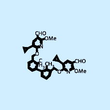 COc1nc(OCc2cccc(-c3cccc(COc4nc(OC)c(C=O)cc4C4CC4)c3C)c2C)c(C2CC2)cc1C=O